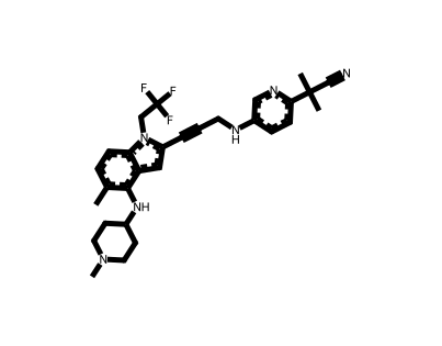 Cc1ccc2c(cc(C#CCNc3ccc(C(C)(C)C#N)nc3)n2CC(F)(F)F)c1NC1CCN(C)CC1